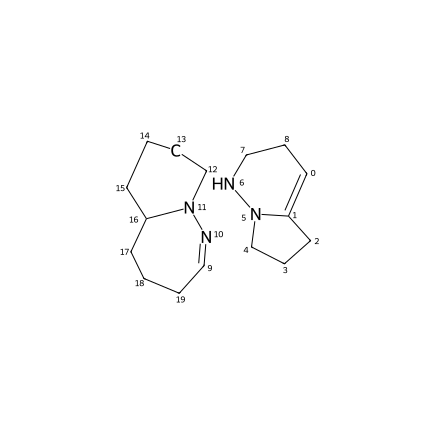 C1=C2CCCN2NCC1.C1=NN2CCCCC2CCC1